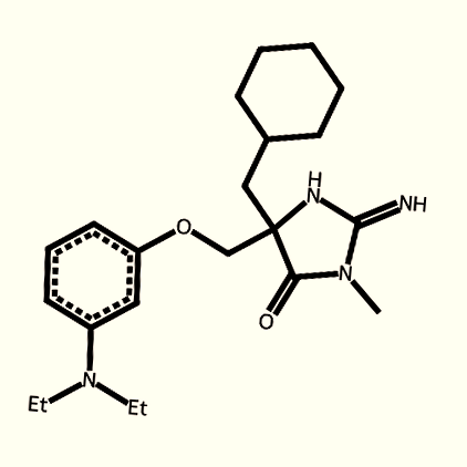 CCN(CC)c1cccc(OCC2(CC3CCCCC3)NC(=N)N(C)C2=O)c1